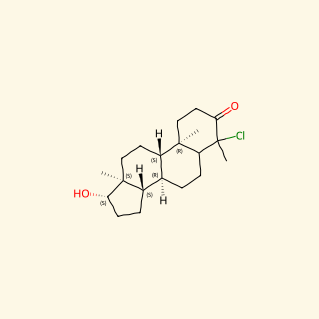 CC1(Cl)C(=O)CC[C@@]2(C)C1CC[C@H]1[C@@H]3CC[C@H](O)[C@@]3(C)CC[C@@H]12